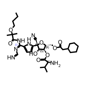 CCCCOC(C)(C)C(=O)N/C(=N/C=N)c1ccc([C@]2(C#N)O[C@H](COC(=O)CC3CCCCC3)[C@@H](OC(=O)[C@@H](N)C(C)C)[C@H]2O)[nH]1